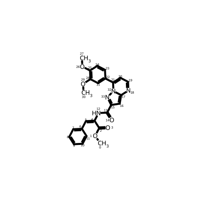 COC(=O)C(=Cc1ccccc1)NC(=O)c1cc2nccc(-c3ccc(OC)c(OC)c3)n2n1